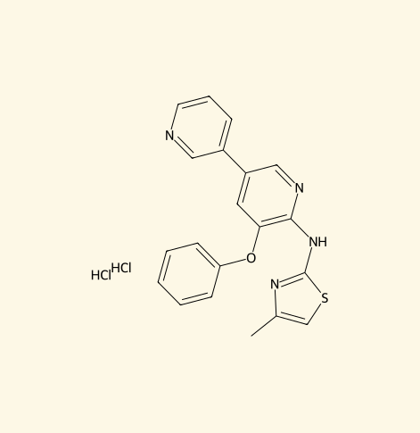 Cc1csc(Nc2ncc(-c3cccnc3)cc2Oc2ccccc2)n1.Cl.Cl